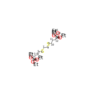 CCO[Si](CCCSCCSCCC[Si](OCC)(OCC)OCC)(OCC)OCC